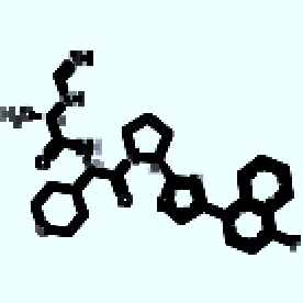 C[C@H](NC=N)C(=O)N[C@H](C(=O)N1CCC[C@H]1c1nc(-c2ccc(F)c3ccccc23)cs1)C1CCOCC1